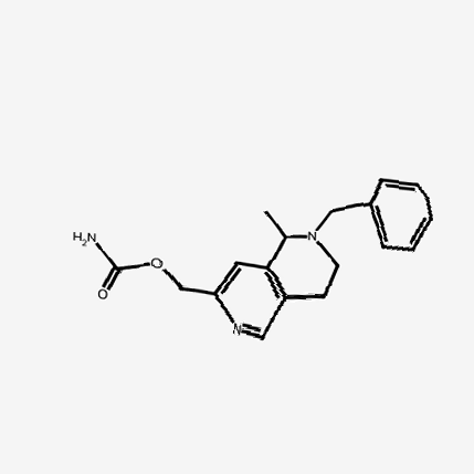 CC1c2cc(COC(N)=O)ncc2CCN1Cc1ccccc1